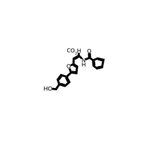 O=C(O)C(=Cc1ccc(-c2ccc(CO)cc2)o1)NC(=O)c1ccccc1